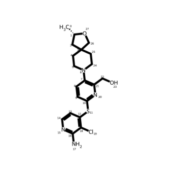 C[C@H]1CC2(CCN(c3ccc(Sc4ccnc(N)c4Cl)nc3CO)CC2)CO1